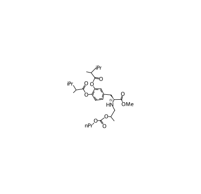 CCCOC(=O)OC(C)CN[C@@H](Cc1ccc(OC(=O)C(C)C(C)C)c(OC(=O)C(C)C(C)C)c1)C(=O)OC